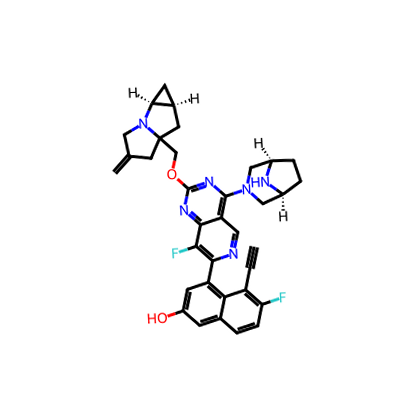 C#Cc1c(F)ccc2cc(O)cc(-c3ncc4c(N5C[C@H]6CC[C@@H](C5)N6)nc(OCC56CC(=C)CN5[C@H]5C[C@H]5C6)nc4c3F)c12